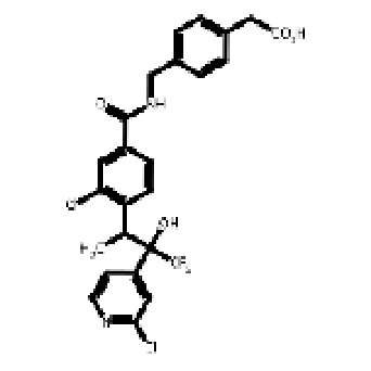 CC(c1ccc(C(=O)NCc2ccc(CC(=O)O)cc2)cc1Cl)C(O)(c1ccnc(Cl)c1)C(F)(F)F